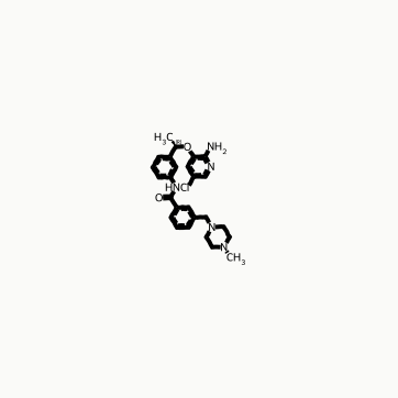 C[C@@H](Oc1cc(Cl)cnc1N)c1cccc(NC(=O)c2cccc(CN3CCN(C)CC3)c2)c1